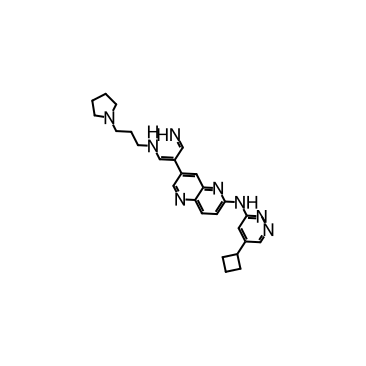 N=C/C(=C\NCCCN1CCCC1)c1cnc2ccc(Nc3cc(C4CCC4)cnn3)nc2c1